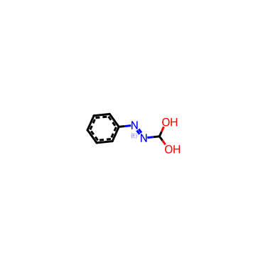 OC(O)/N=N/c1ccccc1